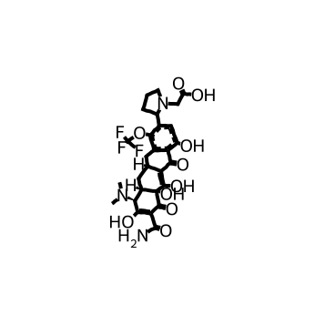 CN(C)[C@@H]1C(O)=C(C(N)=O)C(=O)[C@@]2(O)C(O)=C3C(=O)c4c(O)cc(C5CCCN5CC(=O)O)c(OC(F)(F)F)c4C[C@H]3C[C@@H]12